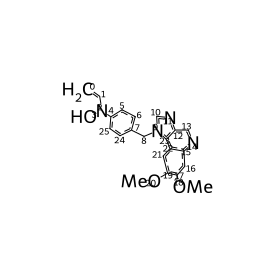 C=CN(O)c1ccc(Cn2cnc3cnc4cc(OC)c(OC)cc4c32)cc1